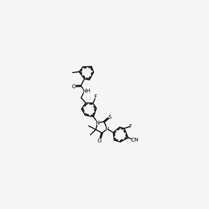 Cc1ccccc1C(=O)NCc1ccc(N2C(=S)N(c3ccc(C#N)c(F)c3)C(=O)C2(C)C)cc1F